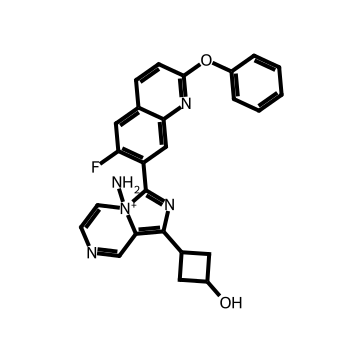 N[N+]12C=CN=CC1=C(C1CC(O)C1)N=C2c1cc2nc(Oc3ccccc3)ccc2cc1F